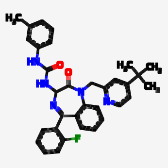 Cc1cccc(NC(=O)NC2N=C(c3ccccc3F)c3ccccc3N(Cc3cc(C(C)(C)C)ccn3)C2=O)c1